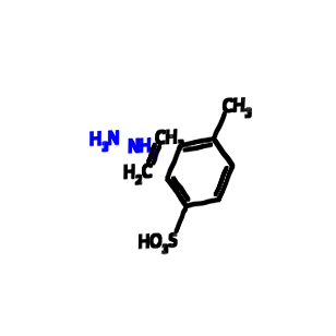 C=C.Cc1ccc(S(=O)(=O)O)cc1.N.N